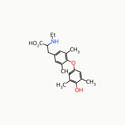 CCNC(Cc1cc(C)c(Oc2cc(C)c(O)c(C)c2)c(C)c1)C(=O)O